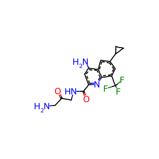 NCC(=O)CNC(=O)c1cc(N)c2cc(C3CC3)cc(C(F)(F)F)c2n1